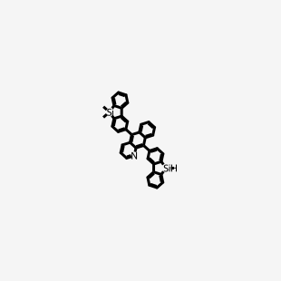 C[SiH]1c2ccccc2-c2cc(-c3c4ccccc4c(-c4ccc5c(c4)-c4ccccc4[Si]5(C)C)c4cccnc34)ccc21